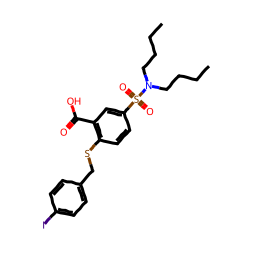 CCCCN(CCCC)S(=O)(=O)c1ccc(SCc2ccc(I)cc2)c(C(=O)O)c1